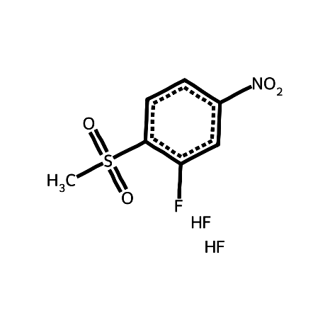 CS(=O)(=O)c1ccc([N+](=O)[O-])cc1F.F.F